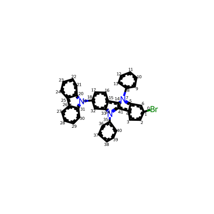 Brc1ccc2c(c1)n(-c1ccccc1)c1c3ccc(-n4c5ccccc5c5ccccc54)cc3n(-c3ccccc3)c21